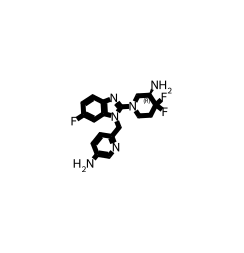 Nc1ccc(Cn2c(N3CCC(F)(F)[C@H](N)C3)nc3ccc(F)cc32)nc1